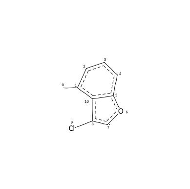 Cc1cccc2o[c]c(Cl)c12